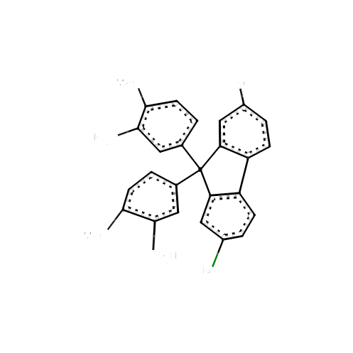 CCc1ccc2c(c1)C(c1ccc(OC)c(C(=O)O)c1)(c1ccc(OC)c(C(=O)O)c1)c1cc(Br)ccc1-2